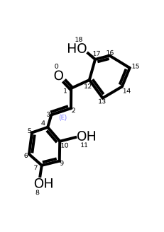 O=C(/C=C/c1ccc(O)cc1O)c1ccccc1O